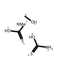 CNC(O)=S.CO.NC(O)=S